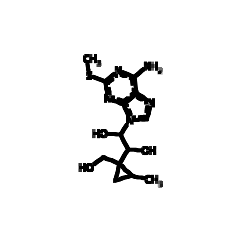 CSc1nc(N)c2ncn(C(O)C(O)C3(CO)CC3C)c2n1